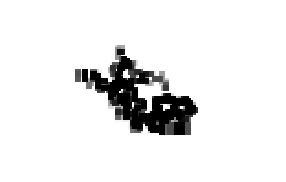 COc1nc(NS(=O)(=O)c2c[nH]c3c2ccc2cc[nH]c23)nc(OC)c1OC(F)F